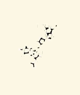 COc1nc(N)nc2c1ncn2[C@@H]1O[C@H](COP(=O)(N[C@@H](C)C(=O)OC(C)C)SC[C@@H]2C(=O)N(C)C(=O)N2C)[C@@H](O)[C@@]1(C)O